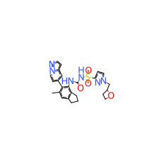 Cc1cc2c(c(NC(=O)NS(=O)(=O)c3ccn(CC4CCO4)n3)c1-c1ccn3nccc3c1)CCC2